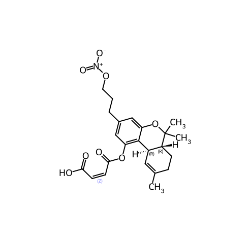 CC1=C[C@H]2c3c(OC(=O)/C=C\C(=O)O)cc(CCCO[N+](=O)[O-])cc3OC(C)(C)[C@@H]2CC1